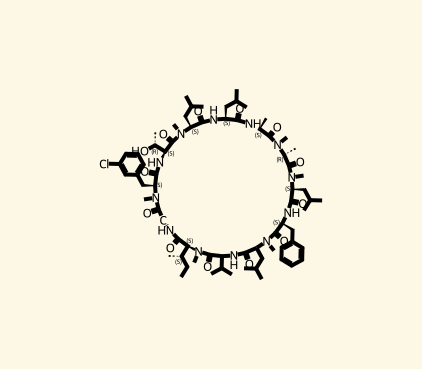 CC[C@H](C)[C@H]1C(=O)NCC(=O)N(C)[C@@H](Cc2cccc(Cl)c2)C(=O)N[C@@H]([C@@H](C)O)C(=O)N(C)[C@@H](CC(C)C)C(=O)N[C@@H](CC(C)C)C(=O)N[C@@H](C)C(=O)N(C)[C@H](C)C(=O)N(C)[C@@H](CC(C)C)C(=O)N[C@@H](Cc2ccccc2)C(=O)N(C)C(CC(C)C)C(=O)NC(C(C)C)C(=O)N1C